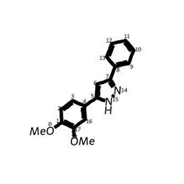 COc1ccc(-c2cc(-c3ccccc3)n[nH]2)cc1OC